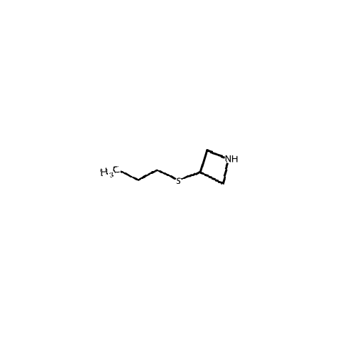 CCCSC1CNC1